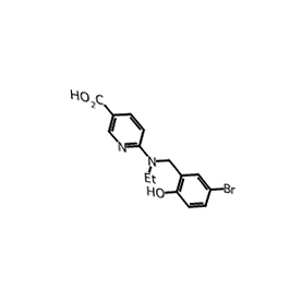 CCN(Cc1cc(Br)ccc1O)c1ccc(C(=O)O)cn1